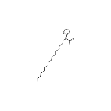 CCCCCCCCCCCCCCCCN(C(C)=O)c1cccs1